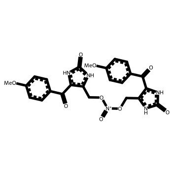 COc1ccc(C(=O)c2[nH]c(=O)[nH]c2CO[N+](=O)OCc2[nH]c(=O)[nH]c2C(=O)c2ccc(OC)cc2)cc1